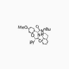 CCCCNC(=O)C1c2ccc(OC)cc2OC(C(C)C)C(=O)N1C1CCCc2ccccc21